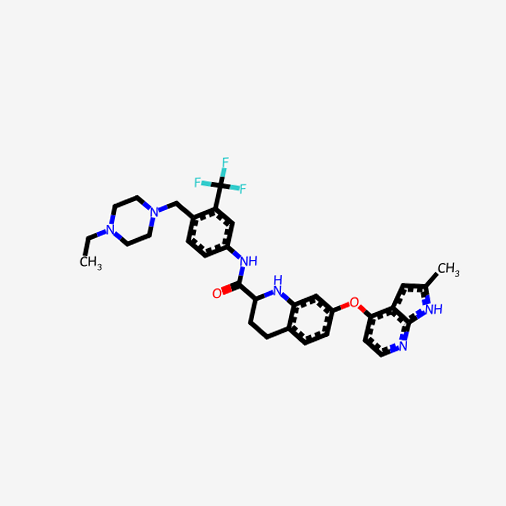 CCN1CCN(Cc2ccc(NC(=O)C3CCc4ccc(Oc5ccnc6[nH]c(C)cc56)cc4N3)cc2C(F)(F)F)CC1